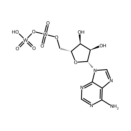 Nc1ncnc2c1ncn2[C@@H]1O[C@H](C[O][W](=[O])(=[O])[O][W](=[O])(=[O])[OH])[C@@H](O)[C@H]1O